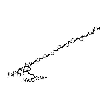 C#CCOCCOCCOCCOCCOCCOCCOCCOCCNC(=O)CN(CC(=O)OC(C)(C)C)C(=O)CCCC(OC)OC